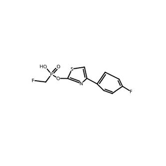 O=P(O)(CF)Oc1nc(-c2ccc(F)cc2)cs1